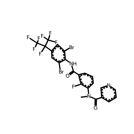 CN(C(=O)c1cccnc1)c1cccc(C(=O)Nc2c(Br)cc(C(F)(C(F)(F)F)C(F)(F)F)cc2Br)c1F